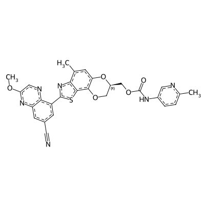 COc1cnc2c(-c3nc4c(C)cc5c(c4s3)OC[C@H](COC(=O)Nc3ccc(C)nc3)O5)cc(C#N)cc2n1